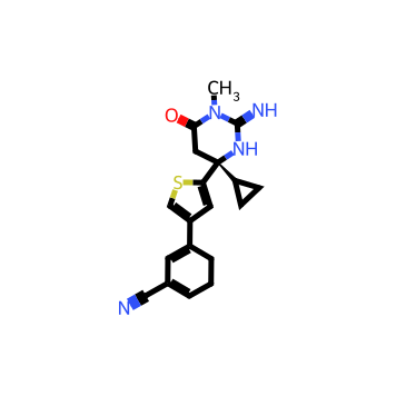 CN1C(=N)N[C@@](c2cc(C3=CC(C#N)=CCC3)cs2)(C2CC2)CC1=O